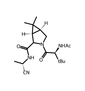 CC(=O)N[C@H](C(=O)N1C[C@H]2[C@@H](C1C(=O)N[C@@H](C)C#N)C2(C)C)C(C)(C)C